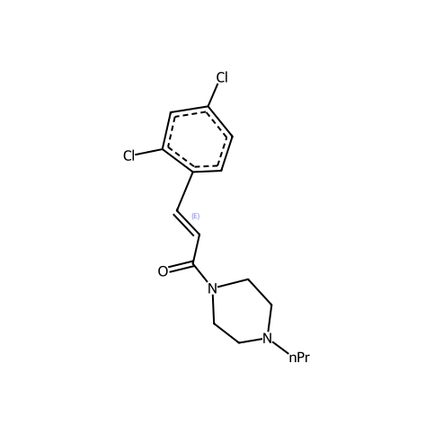 CCCN1CCN(C(=O)/C=C/c2ccc(Cl)cc2Cl)CC1